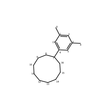 Cc1cc(C)cc(C2CCCCCCCCC2)c1